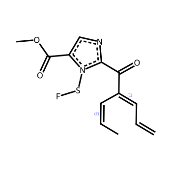 C=C/C=C(\C=C/C)C(=O)c1ncc(C(=O)OC)n1SF